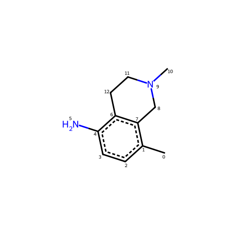 Cc1ccc(N)c2c1CN(C)CC2